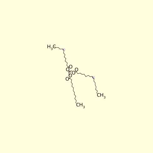 CCCC/C=C\CCCCCCCC(=O)O[C@@H](COC(=O)CCCCCCC/C=C\CCCCCCCC)COC(=O)CCCCCCCCCCCCC